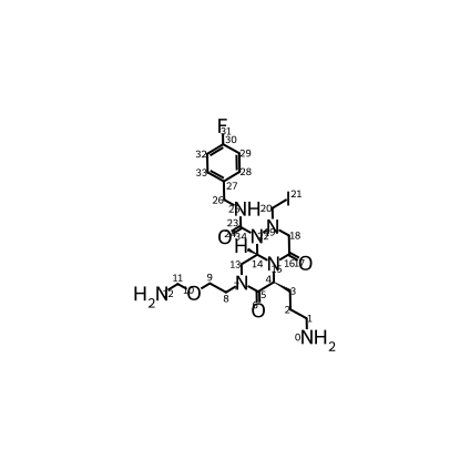 NCCC[C@H]1C(=O)N(CCOCN)C[C@H]2N1C(=O)CN(CI)N2C(=O)NCc1ccc(F)cc1